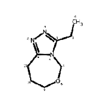 CCc1nnc2n1COCCC2